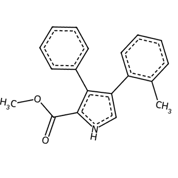 COC(=O)c1[nH]cc(-c2ccccc2C)c1-c1ccccc1